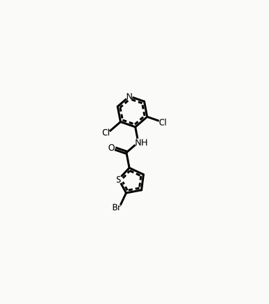 O=C(Nc1c(Cl)cncc1Cl)c1ccc(Br)s1